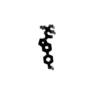 CN1CCN(c2ccc3c(ccn3C(=O)OC(C)(C)C)c2)CC1